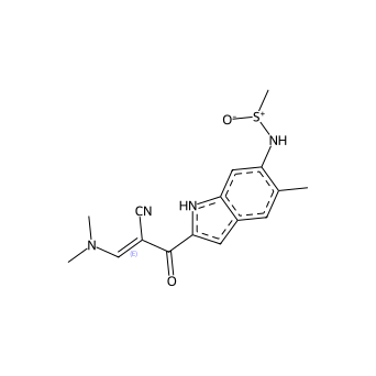 Cc1cc2cc(C(=O)/C(C#N)=C/N(C)C)[nH]c2cc1N[S+](C)[O-]